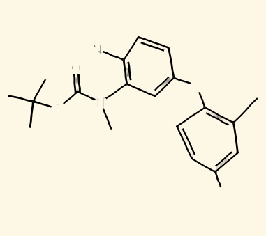 Cc1cc(F)ccc1Oc1ccc(N)c(N(C)C(=O)OC(C)(C)C)c1